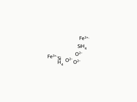 [Fe+3].[Fe+3].[O-2].[O-2].[O-2].[SiH4].[SiH4]